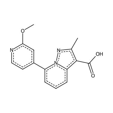 COc1cc(-c2cccc3c(C(=O)O)c(C)nn23)ccn1